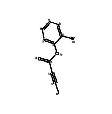 CC#CC(=O)Oc1ccccc1Br